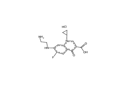 Cl.NCCNc1cc2c(cc1F)c(=O)c(C(=O)O)cn2C1CC1